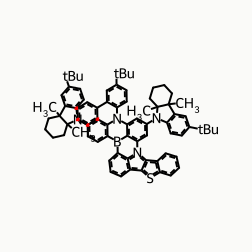 CC(C)(C)c1ccc(N2c3cc(N4c5ccc(C(C)(C)C)cc5C5(C)CCCCC45C)ccc3B3c4c2cc(N2c5ccc(C(C)(C)C)cc5C5(C)CCCCC25C)cc4-n2c4c3cccc4c3sc4ccccc4c32)c(-c2ccccc2)c1